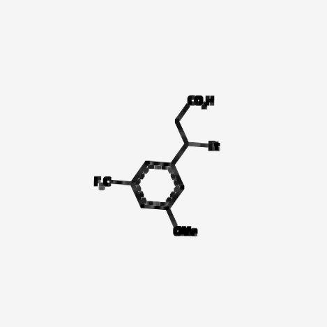 CCC(CC(=O)O)c1cc(OC)cc(C(F)(F)F)c1